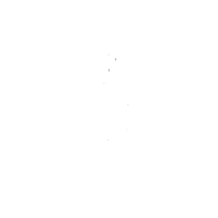 CCCc1ccc(N2C[C@@H]3CN(CC4=C(C(=O)OC)[C@H](c5ccc(F)cc5Cl)NC(c5nccs5)=N4)CCN3C2=O)c(F)c1